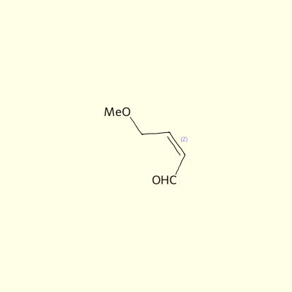 COC/C=C\C=O